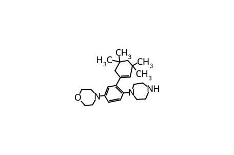 CC1(C)C=C(c2cc(N3CCOCC3)ccc2N2CCNCC2)CC(C)(C)C1